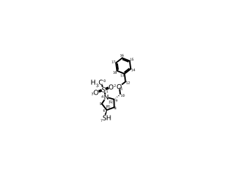 CS(=O)(=O)N1C[C@H](S)C[C@H]1COCc1ccccc1